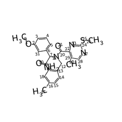 COc1cccc(C(C(N)=O)N(Cc2ccc(C)cc2)C(=O)c2nc(SC)ncc2C)c1